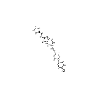 Clc1ccc(-c2ccc(C#Cc3ccc4nn(CCN5CCCC5)cc4c3)nc2)cc1